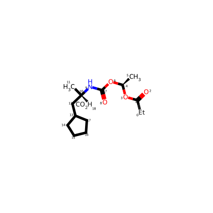 CCC(=O)O[C@H](C)OC(=O)N[C@@](C)(CC1CCCC1)C(=O)O